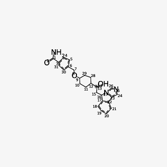 NC(=O)c1ccc(COC2CCC([C@@H](O)CC3c4ccccc4-c4cncn43)CC2)cc1